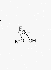 CCO.O=C([O-])O.[K+]